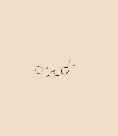 CCN(CC)c1ccc(C=C2SC(=O)N(C(C)C3CCCCC3)C2=O)cc1